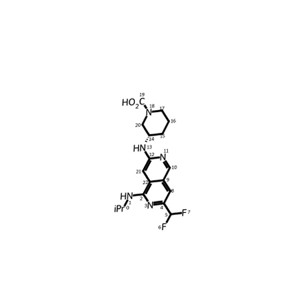 CC(C)Nc1nc(C(F)F)cc2cnc(N[C@H]3CCCN(C(=O)O)C3)cc12